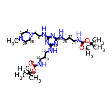 CN1CCN(CCNc2nc(NCCCNC(=O)OC(C)(C)C)nc(NCCCNC(=O)OC(C)(C)C)n2)CC1